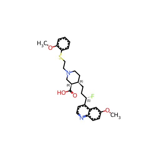 COc1ccc2nccc([C@@H](F)CC[C@@H]3CCN(CCSc4ccccc4OC)C[C@@H]3C(=O)O)c2c1